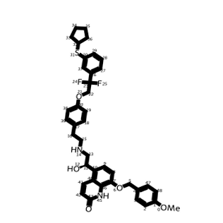 COc1ccc(COc2ccc([C@@H](O)CNCCc3ccc(OCC(F)(F)c4cccc(SC5CCCC5)c4)cc3)c3ccc(=O)[nH]c23)cc1